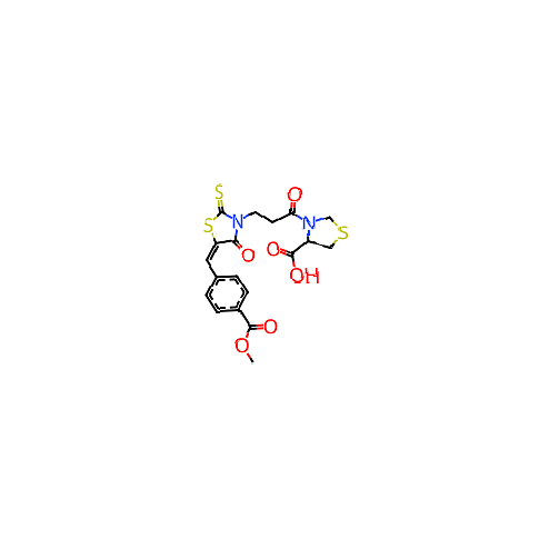 COC(=O)c1ccc(/C=C2/SC(=S)N(CCC(=O)N3CSCC3C(=O)O)C2=O)cc1